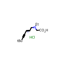 CCN(C/C=C/C#CC(C)(C)C)CC(=O)O.Cl